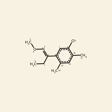 CC/C(=N\OC)c1cc(Cl)c(C)cc1C